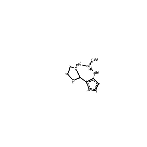 CCC[CH2][SnH]([CH2]CCC)[CH2]CCC.[c]1ccc(C2OCCO2)s1